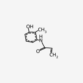 C=CC(=O)Nc1cccc(O)c1C